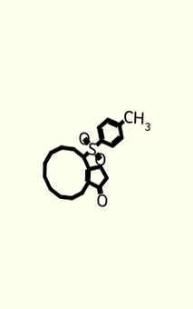 Cc1ccc(S(=O)(=O)C2CCCCCCCCCC3=C2CCC3=O)cc1